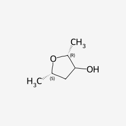 C[C@H]1CC(O)[C@@H](C)O1